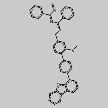 C=N/C(=N\C(=N/Cc1ccc(-c2ccc(-c3cccc4c3oc3ccccc34)cc2)c(SC)c1)c1ccccc1)c1ccccc1